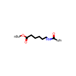 CCCCOC(=O)CCCCCNC(=O)CCC